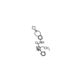 CCc1c(C(=O)Nc2ccc3c(c2)CCN(C2CCC2)CC3)nnn1-c1ccccc1